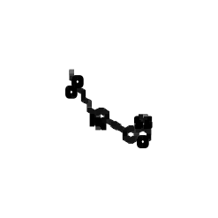 CCOC(=O)CCCCc1ccc(C#Cc2ccc3c(c2)C(SC)(SC)CCO3)nn1